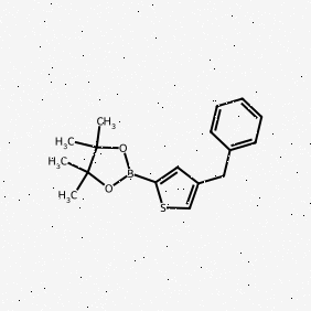 CC1(C)OB(c2cc(Cc3ccccc3)cs2)OC1(C)C